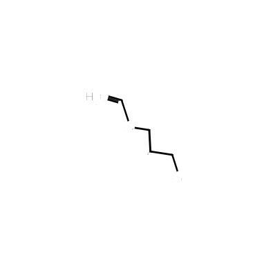 C=CSCCC[Si]